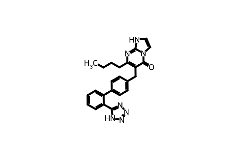 CCCCc1nc2[nH]ccn2c(=O)c1Cc1ccc(-c2ccccc2-c2nnn[nH]2)cc1